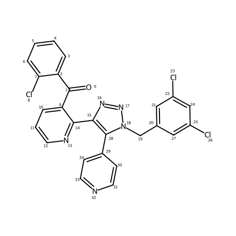 O=C(c1ccccc1Cl)c1cccnc1-c1nnn(Cc2cc(Cl)cc(Cl)c2)c1-c1ccncc1